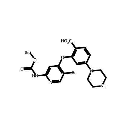 CC(C)(C)OC(=O)Nc1cc(Oc2cc(N3CCNCC3)ccc2C(=O)O)c(Br)cn1